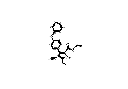 CCOC(=O)c1c(-c2ccc(Oc3ccccc3)cc2)c(C#N)c(CC)n1C